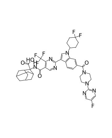 O=C(NC1(C(=O)O)C2CC3CC(C2)CC1C3)c1cnc(-c2cn(C3CCC(F)(F)CC3)c3cc(C(=O)N4CCN(c5ncc(F)cn5)CC4)ccc23)nc1C(F)(F)F